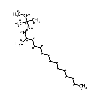 CCCCCCCCCCCCCC(C)/N=N/C(C)(C)OC